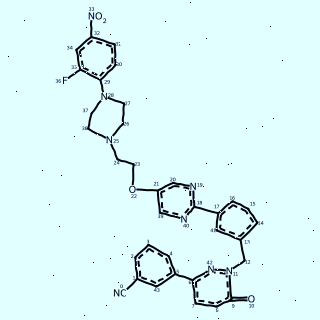 N#Cc1cccc(-c2ccc(=O)n(Cc3cccc(-c4ncc(OCCN5CCN(c6ccc([N+](=O)[O-])cc6F)CC5)cn4)c3)n2)c1